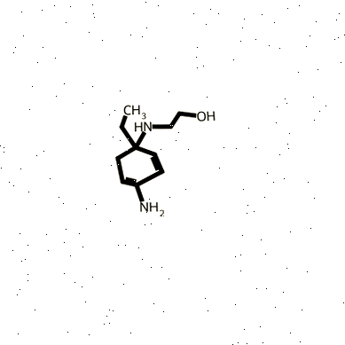 CCC1(NCCO)C=CC(N)=CC1